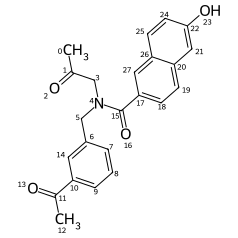 CC(=O)CN(Cc1cccc(C(C)=O)c1)C(=O)c1ccc2cc(O)ccc2c1